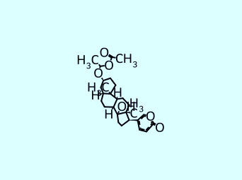 CC(=O)OC(C)O[C@H]1CC[C@@]2(C)[C@H](CC[C@@H]3[C@@H]2CC[C@]2(C)[C@@H](c4ccc(=O)oc4)CC[C@]32O)C1